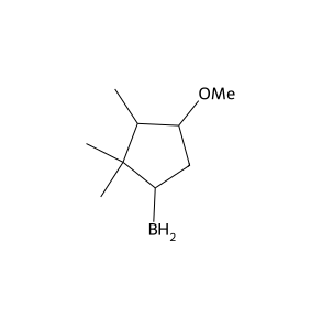 BC1CC(OC)C(C)C1(C)C